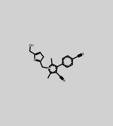 Cc1c(C#N)c(-c2ccc(C#N)cc2)c(C)n1CC1=NC(CO)=CC1